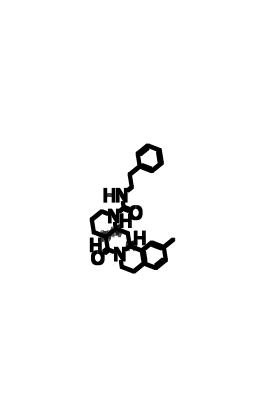 Cc1ccc2c(c1)[C@H]1C[C@H]3[C@H](CCCN3C(=O)NCCc3ccccc3)C(=O)N1CC2